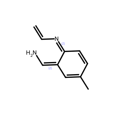 C=C/N=C1/C=CC(C)=C/C1=C/N